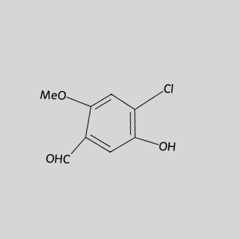 COc1cc(Cl)c(O)cc1C=O